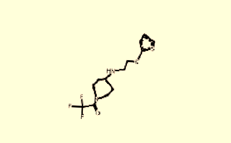 O=C(N1CCC(NCCSc2cccs2)CC1)C(F)(F)F